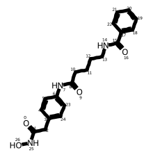 O=C(Cc1ccc(NC(=O)CCCCNC(=O)c2ccccc2)cc1)NO